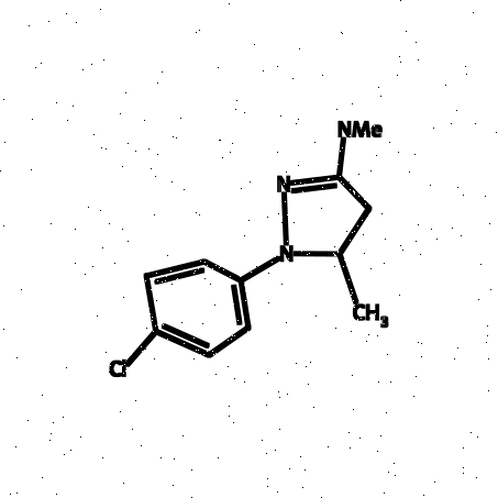 CNC1=NN(c2ccc(Cl)cc2)C(C)C1